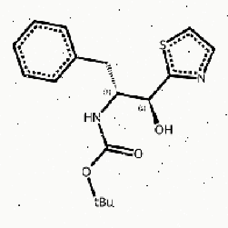 CC(C)(C)OC(=O)N[C@H](Cc1ccccc1)[C@H](O)c1nccs1